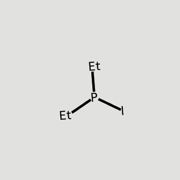 CCP(I)CC